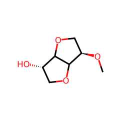 CO[C@@H]1COC2C1OC[C@@H]2O